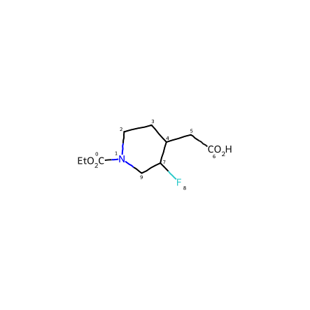 CCOC(=O)N1CCC(CC(=O)O)C(F)C1